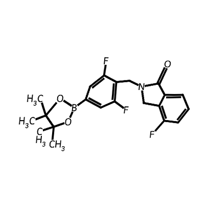 CC1(C)OB(c2cc(F)c(CN3Cc4c(F)cccc4C3=O)c(F)c2)OC1(C)C